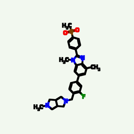 Cc1cc(-c2ccc(CN3CC4CN(C)CC4C3)c(F)c2)cc2c1nc(-c1ccc(S(C)(=O)=O)cc1)n2C